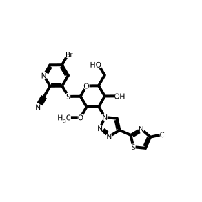 COC1C(Sc2cc(Br)cnc2C#N)OC(CO)C(O)C1n1cc(-c2nc(Cl)cs2)nn1